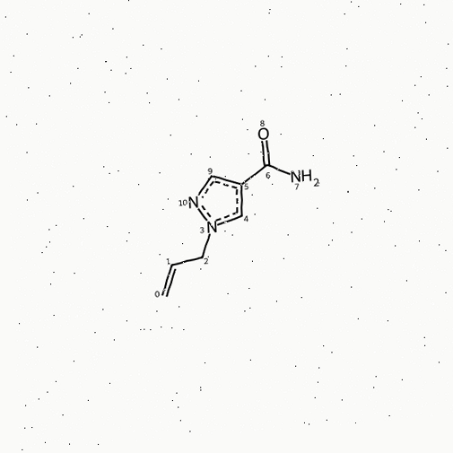 C=CCn1cc(C(N)=O)cn1